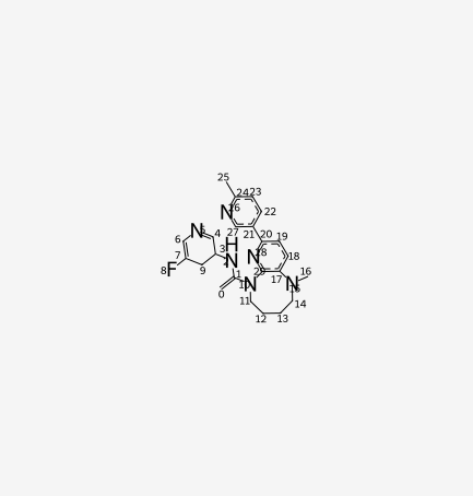 C=C(NC1C=NC=C(F)C1)N1CCCCN(C)c2ccc(-c3ccc(C)nc3)nc21